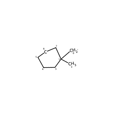 [CH2]C1(C)CCCCC1